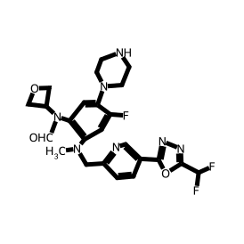 CN(Cc1ccc(-c2nnc(C(F)F)o2)cn1)c1cc(F)c(N2CCNCC2)cc1N(C=O)C1COC1